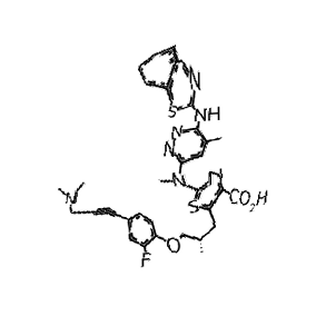 Cc1cc(N(C)c2nc(C(=O)O)c(C[C@H](C)COc3ccc(C#CCN(C)C)cc3F)s2)nnc1Nc1nc2ccccc2s1